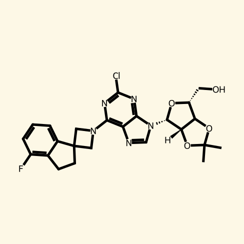 CC1(C)OC2[C@@H](CO)O[C@@H](n3cnc4c(N5CC6(CCc7c(F)cccc76)C5)nc(Cl)nc43)[C@H]2O1